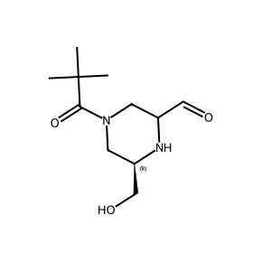 CC(C)(C)C(=O)N1CC(C=O)N[C@@H](CO)C1